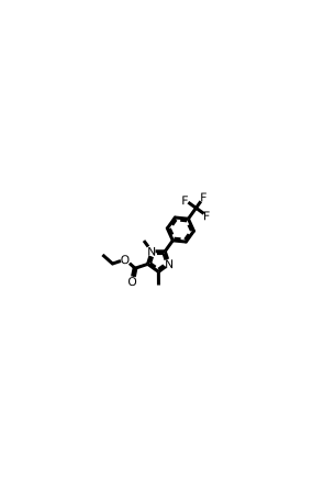 CCOC(=O)c1c(C)nc(-c2ccc(C(F)(F)F)cc2)n1C